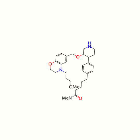 CNC(=O)CCCCc1ccc(C2CCNCC2OCc2ccc3c(c2)N(CCCOC)CCO3)cc1